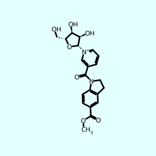 COC(=O)c1ccc2c(c1)CCN2C(=O)c1ccc[n+]([C@@H]2O[C@H](CO)[C@@H](O)[C@H]2O)c1